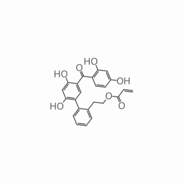 C=CC(=O)OCCc1ccccc1-c1cc(C(=O)c2ccc(O)cc2O)c(O)cc1O